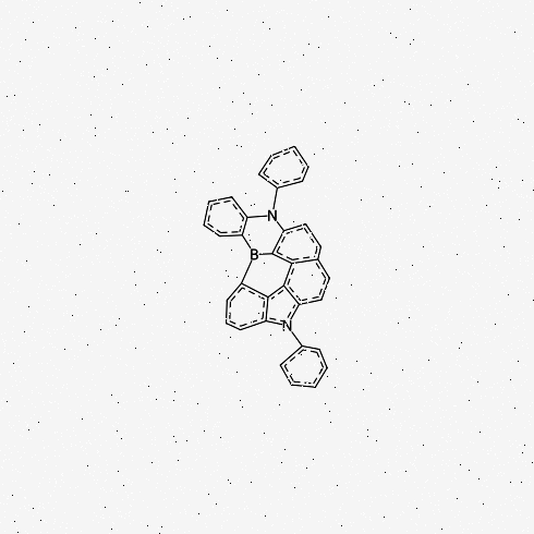 c1ccc(N2c3ccccc3B3c4c2ccc2ccc5c(c42)c2c3cccc2n5-c2ccccc2)cc1